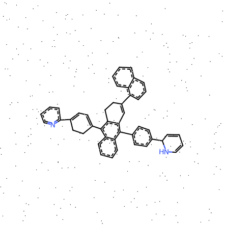 C1=CNC(c2ccc(-c3c4c(c(C5=CC=C(c6ccccn6)CC5)c5ccccc35)CCC(c3cccc5ccccc35)=C4)cc2)C=C1